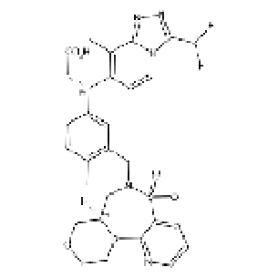 Cc1ccc([C@H](CC(=O)O)c2ccn3c(C(F)F)nnc3c2C)cc1CN1C[C@@H]2COCCN2c2ncccc2S1(=O)=O